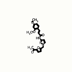 COc1ccc(C=CC(=O)Nc2ccn(Cc3ccc(C(C)=O)o3)n2)c(OC)c1